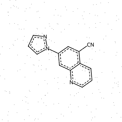 N#Cc1cc(-n2cccn2)cc2ncccc12